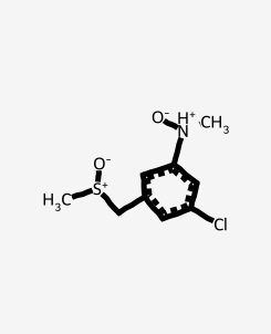 C[NH+]([O-])c1cc(Cl)cc(C[S+](C)[O-])c1